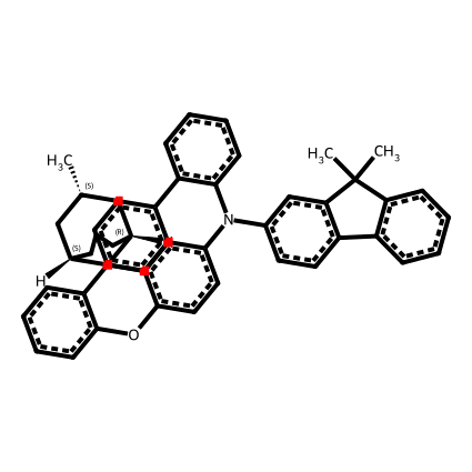 C[C@@H]1C[C@H]2CCC[C@@H](C1)C21c2ccccc2Oc2ccc(N(c3ccc4c(c3)C(C)(C)c3ccccc3-4)c3ccccc3-c3ccccc3)cc21